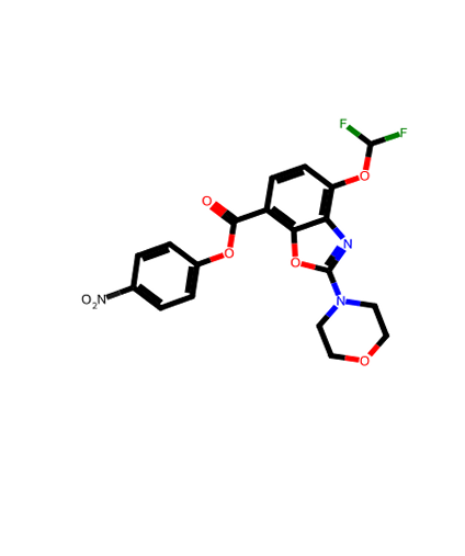 O=C(Oc1ccc([N+](=O)[O-])cc1)c1ccc(OC(F)F)c2nc(N3CCOCC3)oc12